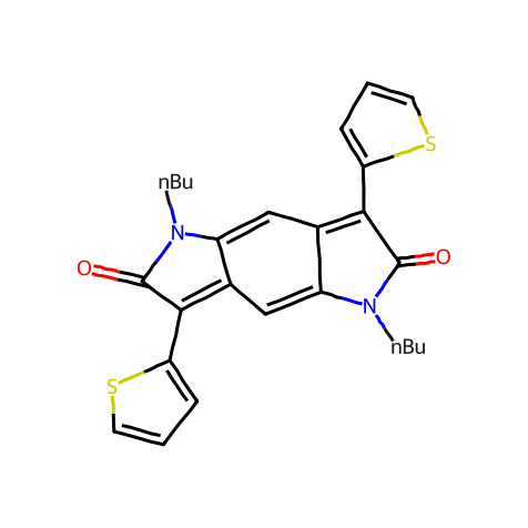 CCCCN1C(=O)C(c2cccs2)=c2cc3c(cc21)=C(c1cccs1)C(=O)N3CCCC